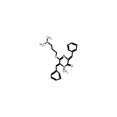 CN(C)CCCOc1n/c(=C\c2ccccc2)c(=O)n(C)/c1=C\c1ccccc1